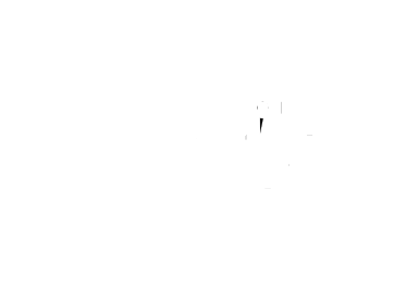 CC(C)CCCC[C@@H](O)C(F)(F)F